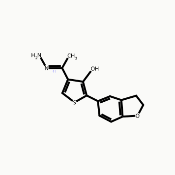 C/C(=N\N)c1csc(-c2ccc3c(c2)CCO3)c1O